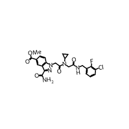 COC(=O)c1ccc2c(c1)c(C(N)=O)nn2CC(=O)N(CC(=O)NCc1cccc(Cl)c1F)C1CC1